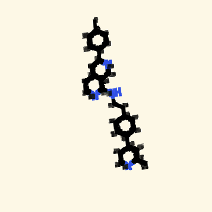 Cc1ccc(-c2cc3ccnc(NCCc4ccc(-c5ccnc(C)c5)cc4)c3cn2)cc1